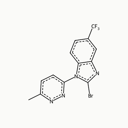 Cc1ccc(-n2c(Br)nc3cc(C(F)(F)F)ccc32)nn1